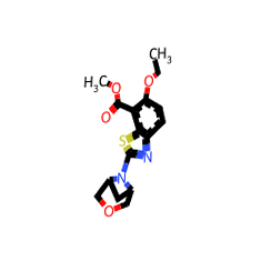 CCOc1ccc2nc(N3C4COCC3C4)sc2c1C(=O)OC